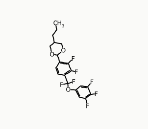 CCCC1COC(c2ccc(C(F)(F)Oc3cc(F)c(F)c(F)c3)c(F)c2F)OC1